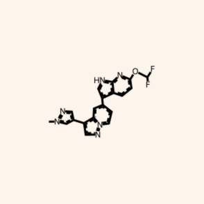 Cn1cc(-c2cnn3ccc(-c4c[nH]c5nc(OC(F)F)ccc45)cc23)cn1